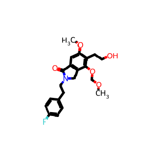 COCOc1c(CCO)c(OC)cc2c1CN(CCc1ccc(F)cc1)C2=O